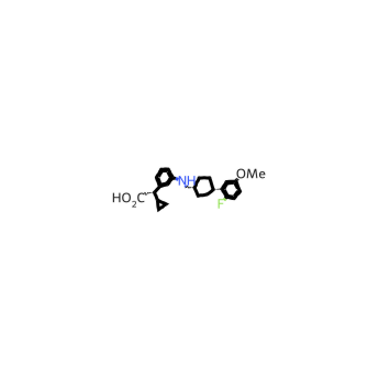 COc1ccc(F)c([C@H]2CC[C@@H](CNc3cccc([C@@H](CC(=O)O)C4CC4)c3)CC2)c1